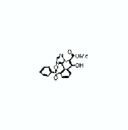 COC(=O)c1c(O)c2cccc(S(=O)(=O)c3ccccc3)c2c2ncnn12